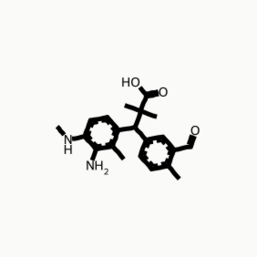 CNc1ccc(C(c2ccc(C)c(C=O)c2)C(C)(C)C(=O)O)c(C)c1N